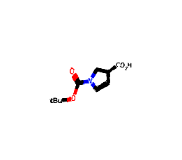 CC(C)(C)OC(=O)N1C=CC(C(=O)O)C1